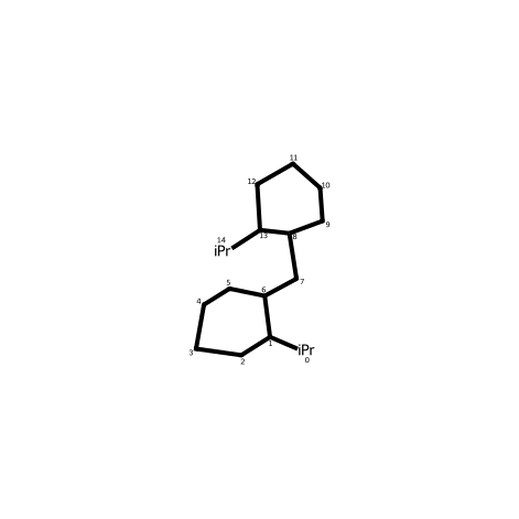 CC(C)C1CCCCC1CC1CCCCC1C(C)C